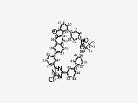 CC1(C)OB(c2ccc(-c3cccc4oc5cc6cc(-c7cccc(-c8nc(Cl)nc(-c9cccc(-c%10ccccc%10)c9)n8)c7)ccc6cc5c34)cc2)OC1(C)C